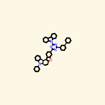 C1=CC2C(c3ccccc3N2c2ccccc2)c2c1oc1cc(-c3nc(-c4cccc(-c5ccccc5)c4)nc(-n4c5ccccc5c5ccccc54)n3)ccc21